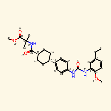 CCc1ccc(OC)c(NC(=O)Nc2ccc([C@H]3CC[C@H](C(=O)NC(C)(C)C(=O)OC)CC3)cc2)c1